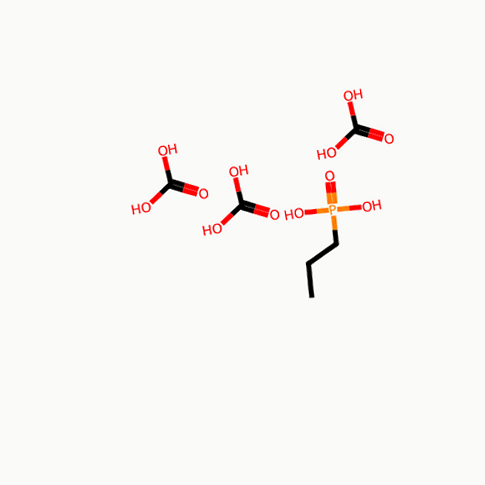 CCCP(=O)(O)O.O=C(O)O.O=C(O)O.O=C(O)O